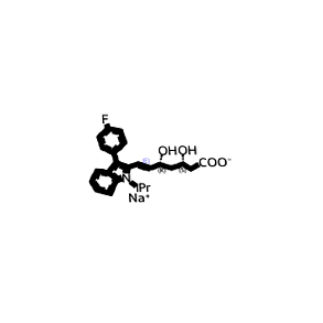 CC(C)n1c(/C=C/[C@H](O)C[C@H](O)CC(=O)[O-])c(-c2ccc(F)cc2)c2ccccc21.[Na+]